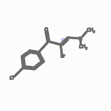 CN(C)/C=C(\Br)C(=O)c1ccc(Cl)cc1